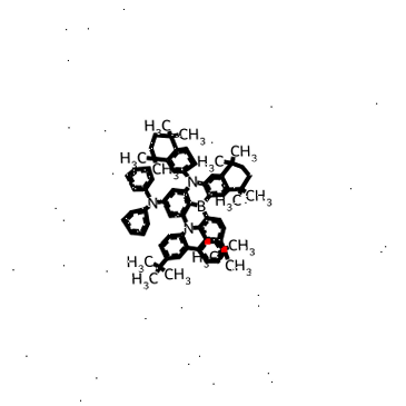 CC(C)(C)c1ccc(N2c3cc(C(C)(C)C)ccc3B3c4cc5c(cc4N(c4ccc6c(c4)C(C)(C)CCC6(C)C)c4cc(N(c6ccccc6)c6ccccc6)cc2c43)C(C)(C)CCC5(C)C)c(-c2ccccc2)c1